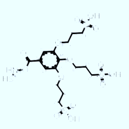 O=C(ONS)c1cc(OCCCS(=O)(=O)O)c(OCCCS(=O)(=O)O)c(OCCCS(=O)(=O)O)c1